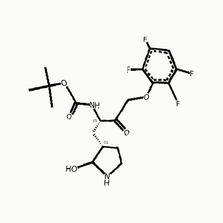 CC(C)(C)OC(=O)N[C@@H](C[C@@H]1CCNC1O)C(=O)COc1c(F)c(F)cc(F)c1F